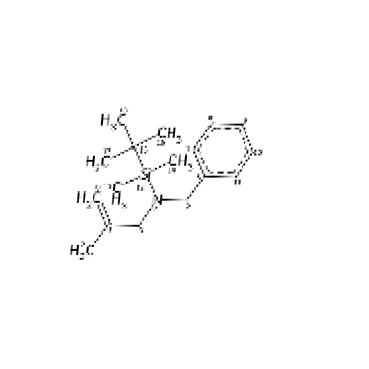 C=C(C)CN(Cc1ccccc1)[Si](C)(C)C(C)(C)C